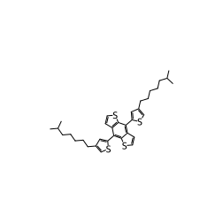 CC(C)CCCCCc1csc(-c2c3ccsc3c(-c3cc(CCCCCC(C)C)cs3)c3ccsc23)c1